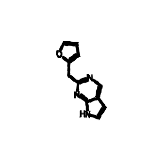 c1coc(Cc2ncc3cc[nH]c3n2)c1